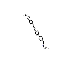 C/C=C/CC[C@H]1CC[C@H](c2ccc(CCCCc3ccc(COCCC)cc3)cc2)CC1